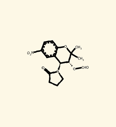 CC1(C)Oc2ccc([N+](=O)[O-])cc2[C@H](N2CCCC2=O)[C@H]1OC=O